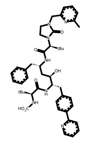 Cc1cccc(CN2CCN([C@H](C(=O)N[C@@H](Cc3ccccc3)C[C@@H](O)[C@H](Cc3ccc(-c4ccccn4)cc3)NC(=O)[C@@H](NC(=O)O)C(C)(C)C)C(C)(C)C)C2=O)n1